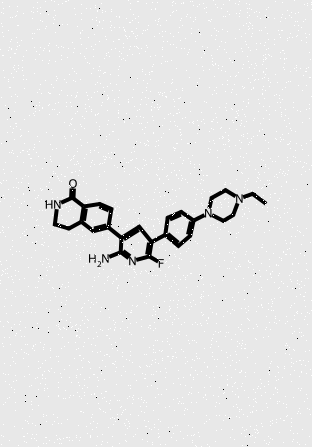 CCN1CCN(c2ccc(-c3cc(-c4ccc5c(c4)CCNC5=O)c(N)nc3F)cc2)CC1